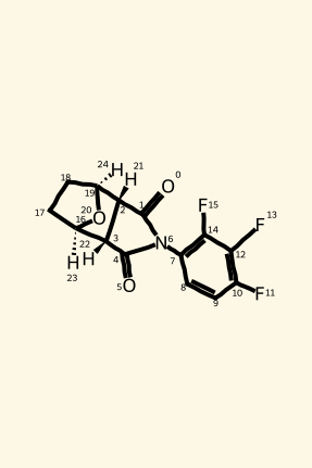 O=C1[C@@H]2[C@H](C(=O)N1c1ccc(F)c(F)c1F)[C@H]1CC[C@@H]2O1